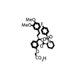 COc1ccc(CC[C@@H](OC(=O)[C@@H]2CCCCN2S(=O)(=O)c2ccc(F)cc2)c2cccc(OCC(=O)O)c2)cc1OC